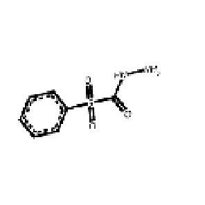 NNC(=O)S(=O)(=O)c1ccccc1